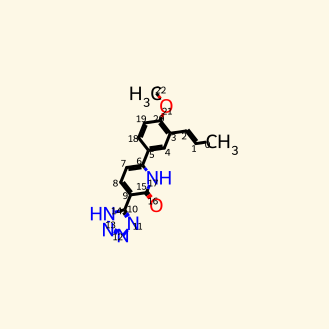 CC=Cc1cc(-c2ccc(-c3nnn[nH]3)c(=O)[nH]2)ccc1OC